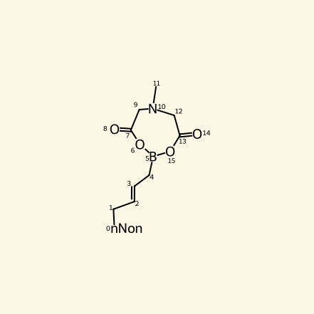 CCCCCCCCCC/C=C/CB1OC(=O)CN(C)CC(=O)O1